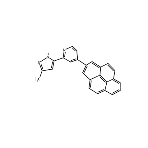 FC(F)(F)c1cc(-c2cc(-c3cc4ccc5cccc6ccc(c3)c4c56)ccn2)[nH]n1